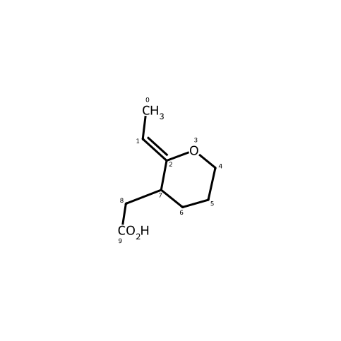 CC=C1OCCCC1CC(=O)O